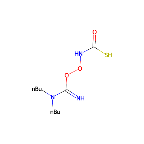 CCCCN(CCCC)C(=N)OONC(=O)S